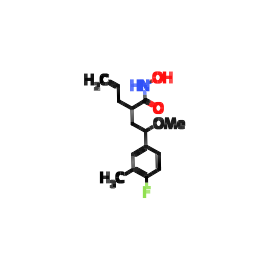 C=CCC(CC(OC)c1ccc(F)c(C)c1)C(=O)NO